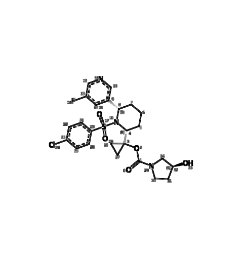 O=C(OC1([C@H]2CCC[C@@H](c3cncc(F)c3)N2S(=O)(=O)c2ccc(Cl)cc2)CC1)N1CC[C@H](O)C1